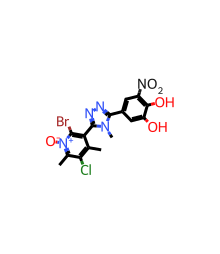 Cc1c(Cl)c(C)[n+]([O-])c(Br)c1-c1nnc(-c2cc(O)c(O)c([N+](=O)[O-])c2)n1C